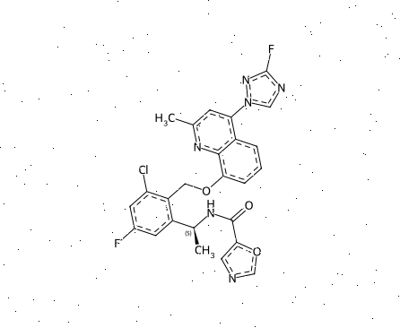 Cc1cc(-n2cnc(F)n2)c2cccc(OCc3c(Cl)cc(F)cc3[C@H](C)NC(=O)c3cnco3)c2n1